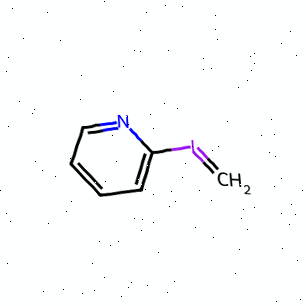 C=Ic1ccccn1